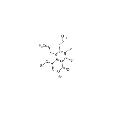 C=CCc1c(Br)c(Br)c(C(=O)OBr)c(C(=O)OBr)c1CC=C